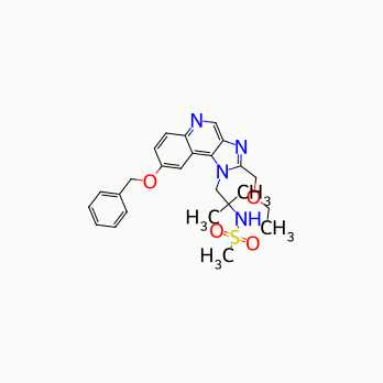 CCOCc1nc2cnc3ccc(OCc4ccccc4)cc3c2n1CC(C)(C)NS(C)(=O)=O